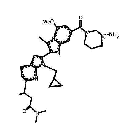 COc1cc(C(=O)N2CCC[C@@H](N)C2)cc2nc(-c3cc4ccc(C(C)CC(=O)N(C)C)nc4n3CC3CC3)c(C)n12